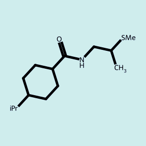 CSC(C)CNC(=O)C1CCC(C(C)C)CC1